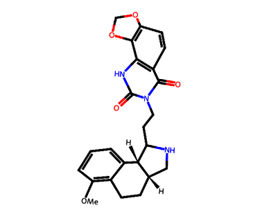 COc1cccc2c1CC[C@H]1CNC(CCn3c(=O)[nH]c4c5c(ccc4c3=O)OCO5)[C@@H]21